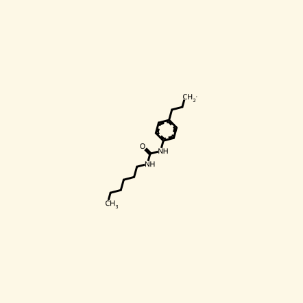 [CH2]CCc1ccc(NC(=O)NCCCCCC)cc1